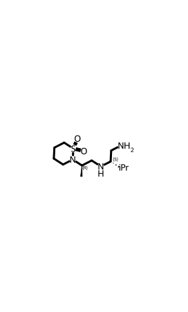 CC(C)[C@@H](CN)NC[C@@H](C)N1CCCCS1(=O)=O